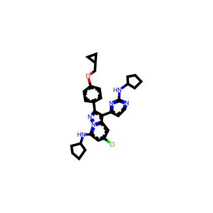 Clc1cc(NC2CCCC2)n2nc(-c3ccc(OCC4CC4)cc3)c(-c3ccnc(NC4CCCC4)n3)c2c1